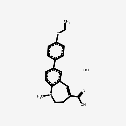 CCOc1ccc(-c2ccc3c(c2)C=C(C(=O)O)CCN3C)cc1.Cl